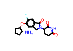 N[C@@H]1CCC[C@@H]1Oc1cc2c(cc1F)C(=O)N(C1CCC(=O)NC1=O)C2